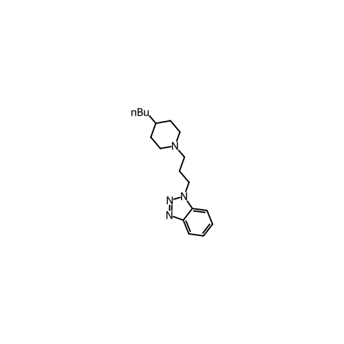 CCCCC1CCN(CCCn2nnc3ccccc32)CC1